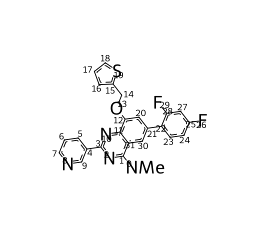 CNc1nc(-c2cccnc2)nc2c(OCc3cccs3)cc(-c3ccc(F)cc3F)cc12